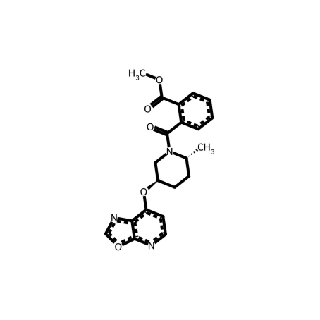 COC(=O)c1ccccc1C(=O)N1C[C@H](Oc2ccnc3ocnc23)CC[C@H]1C